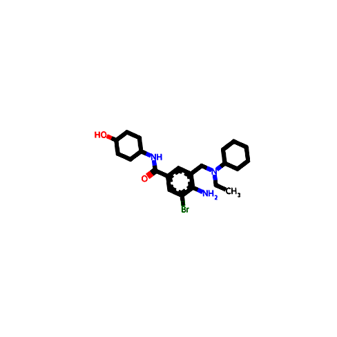 CCN(Cc1cc(C(=O)NC2CCC(O)CC2)cc(Br)c1N)C1CCCCC1